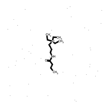 CCCC(=O)NCCC[N+](CC)(CC)CC